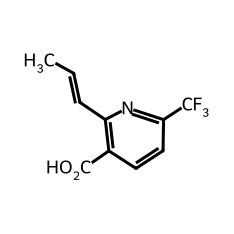 C/C=C/c1nc(C(F)(F)F)ccc1C(=O)O